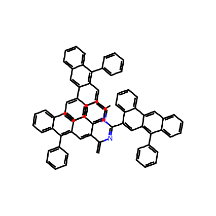 C=C(/N=C(\N=C(/C)c1cc2c(-c3ccccc3)c3ccccc3cc2c2ccccc12)c1cc2c(-c3ccccc3)c3ccccc3cc2c2ccccc12)c1cc2c(-c3ccccc3)c3ccccc3cc2c2ccccc12